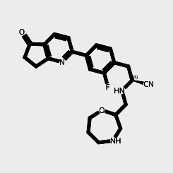 N#C[C@H](Cc1ccc(-c2ccc3c(n2)CCC3=O)cc1F)NCC1CNCCCO1